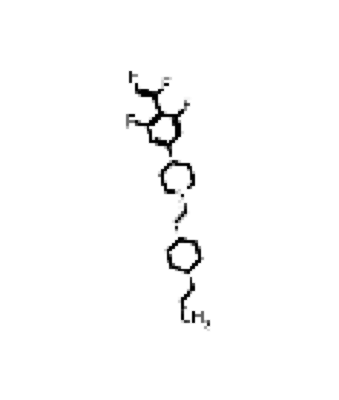 CCC[C@H]1CC[C@H](CC[Si@H]2CC[C@H](c3cc(F)c(C(F)=CF)c(F)c3)CC2)CC1